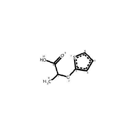 CC(Oc1cccs1)C(=O)O